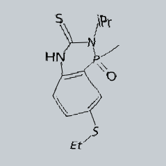 CCSc1ccc2c(c1)P(C)(=O)N(C(C)C)C(=S)N2